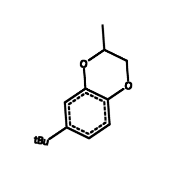 CC1COc2ccc(C(C)(C)C)cc2O1